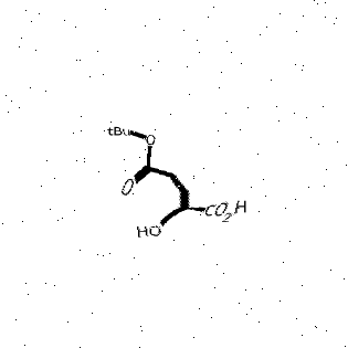 CC(C)(C)OC(=O)C[C@H](O)C(=O)O